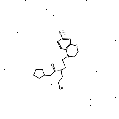 O=C(CC1CCCC1)N(CCO)CCN1CCSc2cc([N+](=O)[O-])ccc21